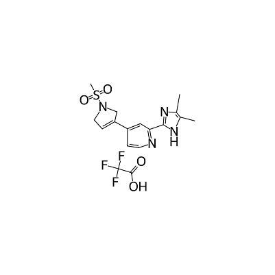 Cc1nc(-c2cc(C3=CCN(S(C)(=O)=O)C3)ccn2)[nH]c1C.O=C(O)C(F)(F)F